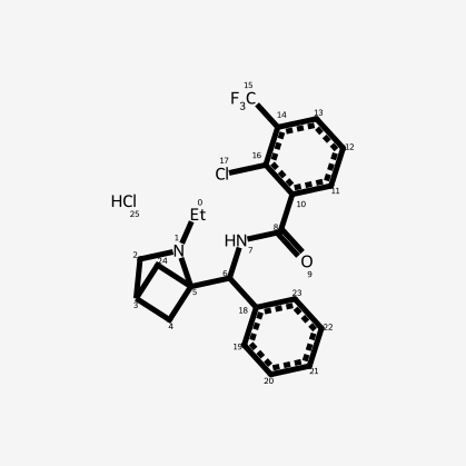 CCN1CC2CC1(C(NC(=O)c1cccc(C(F)(F)F)c1Cl)c1ccccc1)C2.Cl